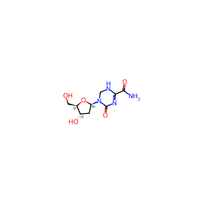 NC(=O)C1=NC(=O)N([C@H]2C[C@H](O)[C@@H](CO)O2)CN1